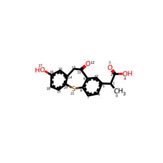 CC(C(=O)O)c1ccc2c(c1)C(=O)Cc1cc(O)ccc1S2